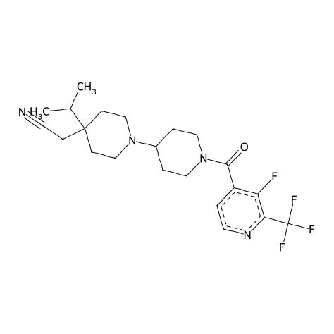 CC(C)C1(CC#N)CCN(C2CCN(C(=O)c3ccnc(C(F)(F)F)c3F)CC2)CC1